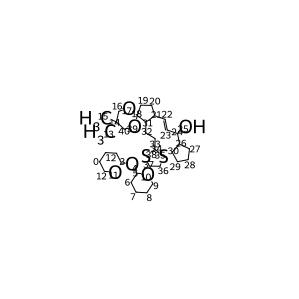 C1CCC(OC2CCCCO2)OC1.CC1(C)COC2(CCC(C=CC(O)C3CCCC3)C2CCC2SCCS2)OC1